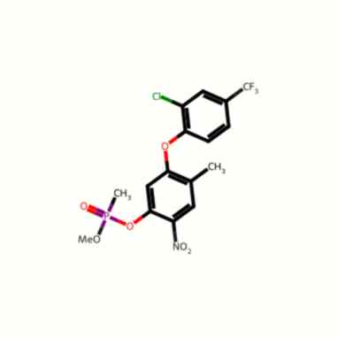 COP(C)(=O)Oc1cc(Oc2ccc(C(F)(F)F)cc2Cl)c(C)cc1[N+](=O)[O-]